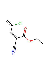 C=C(Cl)C=C(C#N)C(=O)OCC